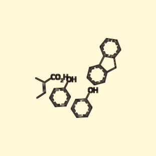 CC=C(C)C(=O)O.Oc1ccccc1.Oc1ccccc1.c1ccc2c(c1)Cc1ccccc1-2